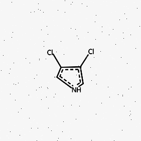 Clc1[c][nH]cc1Cl